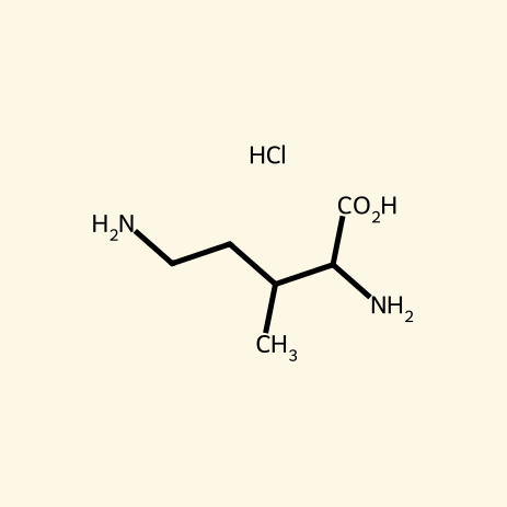 CC(CCN)C(N)C(=O)O.Cl